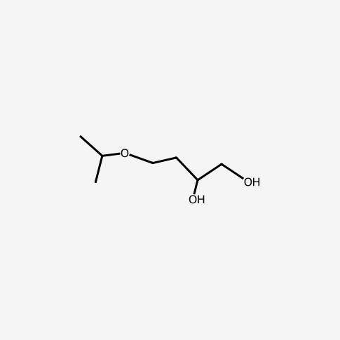 CC(C)OCCC(O)CO